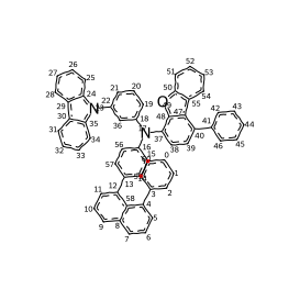 c1ccc(-c2cccc3cccc(-c4ccc(N(c5cccc(-n6c7ccccc7c7ccccc76)c5)c5ccc(-c6ccccc6)c6c5oc5ccccc56)cc4)c23)cc1